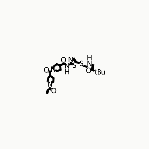 C=CC(=O)N1CCC(C(=O)N2CCC(C(=O)Nc3ncc(SCC4NC=C(C(C)(C)C)O4)s3)CC2)CC1